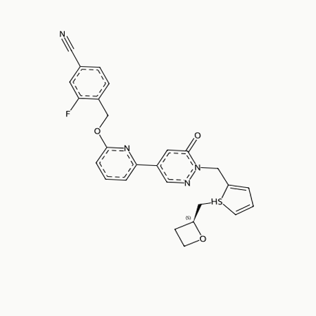 N#Cc1ccc(COc2cccc(-c3cnn(CC4=CC=C[SH]4C[C@@H]4CCO4)c(=O)c3)n2)c(F)c1